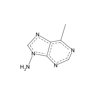 Cc1ncnc2c1ncn2N